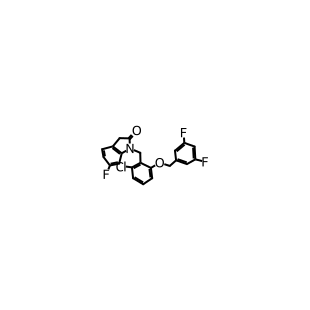 O=C1Cc2ccc(F)cc2N1Cc1c(Cl)cccc1OCc1cc(F)cc(F)c1